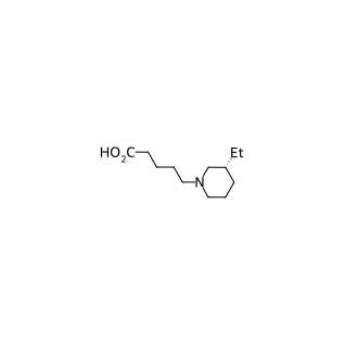 CC[C@@H]1CCCN(CCCCC(=O)O)C1